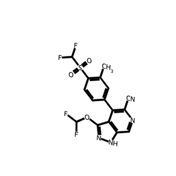 Cc1cc(-c2c(C#N)ncc3[nH]nc(OC(F)F)c23)ccc1S(=O)(=O)C(F)F